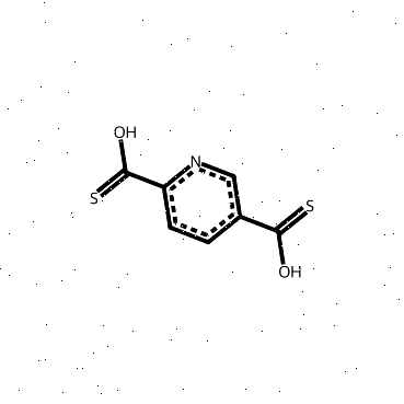 OC(=S)c1ccc(C(O)=S)nc1